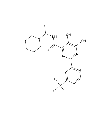 CC(NC(=O)c1nc(-c2cc(C(F)(F)F)ccn2)nc(O)c1O)C1CCCCC1